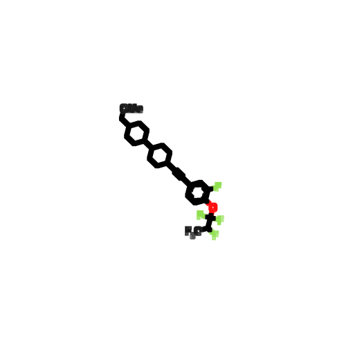 COCC1CCC(C2CCC(C#Cc3ccc(OC(F)(F)C(F)C(F)(F)F)c(F)c3)CC2)CC1